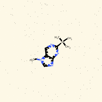 Cn1cnc2n[c]([Sn]([CH3])([CH3])[CH3])ncc21